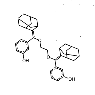 Oc1cccc(C(OCCOC(=C2C3CC4CC(C3)CC2C4)c2cccc(O)c2)=C2C3CC4CC(C3)CC2C4)c1